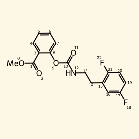 COC(=O)c1ccccc1OC(=O)NCCc1cc(F)ccc1F